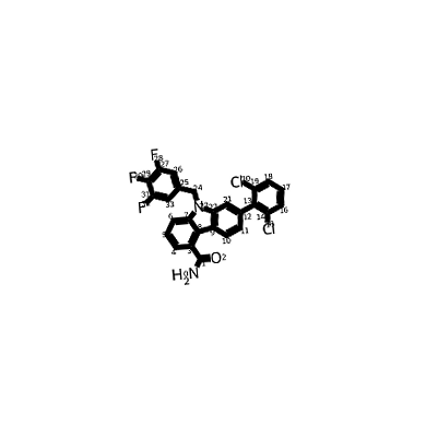 NC(=O)c1cccc2c1c1[c]cc(-c3c(Cl)cccc3Cl)cc1n2Cc1cc(F)c(F)c(F)c1